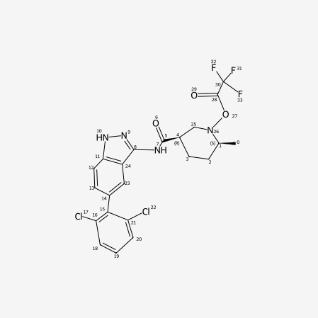 C[C@H]1CC[C@@H](C(=O)Nc2n[nH]c3ccc(-c4c(Cl)cccc4Cl)cc23)CN1OC(=O)C(F)(F)F